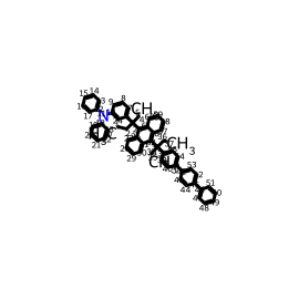 CCCC(CC)(c1cccc(N(c2ccccc2)c2ccccc2)c1)c1c2ccccc2c(C(CC)(CC)c2ccc(-c3ccc(-c4ccccc4)cc3)cc2)c2ccccc12